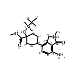 COC(=O)C1(O[Si](C)(C)C(C)(C)C)CCC(c2ccc(N)c3c2CN(C)C3=O)CC1